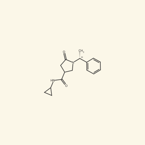 C[C@H](c1ccccc1)N1CC(C(=O)NC2CC2)CC1=O